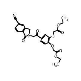 CCOC(=O)COc1ccc(C(=O)CN2Cc3cc(C#N)ccc3C2=O)cc1OCC(=O)OCC